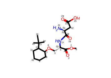 COC(=O)[C@H](COC1CCCCC1C(C)(C)C)NC(=O)[C@@H](N)CC(=O)O